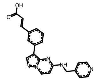 O=C(O)/C=C/c1cccc(-c2cnn3ccc(NCc4ccncc4)nc23)c1